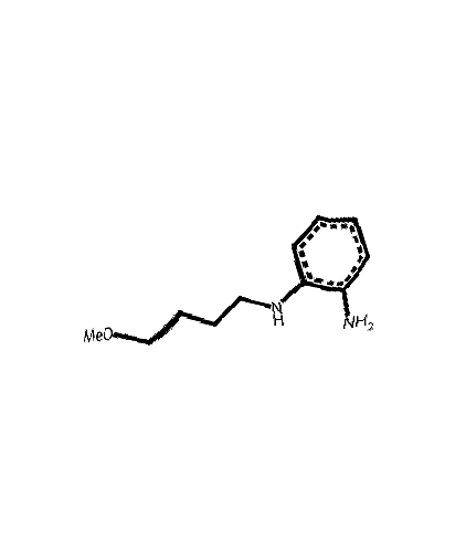 COCCCCNc1ccccc1N